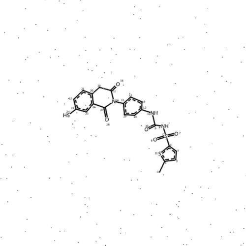 Cc1ccc(S(=O)(=O)NC(=O)Nc2ccc(N3C(=O)Cc4ccc(S)cc4C3=O)cc2)s1